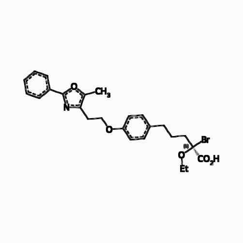 CCO[C@](Br)(CCCc1ccc(OCCc2nc(-c3ccccc3)oc2C)cc1)C(=O)O